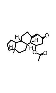 CC(=O)OC1CC(=O)C=C2CC[C@@H]3[C@H](CC[C@]4(C)CCC[C@@H]34)[C@H]21